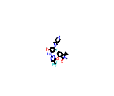 COc1cc(N2CC3(CCN(C)CC3)C2)c(F)cc1Nc1ncc(C(F)(F)F)c(Oc2cccc3c2C(=O)N(C)C32CC2)n1